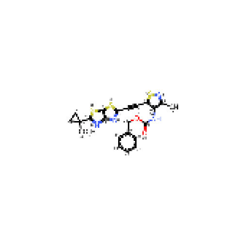 N#Cc1nsc(C#Cc2nc3nc(C4(C(=O)O)CC4)sc3s2)c1NC(=O)OCc1ccccc1